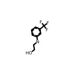 OCC[N]c1cccc(C(F)(F)F)c1